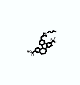 O=C(O)c1ccc2c(c1)CCCC(c1ccc(C(F)(F)F)cc1)=C2c1ccc(C=C2CN(CCCF)C2)cc1